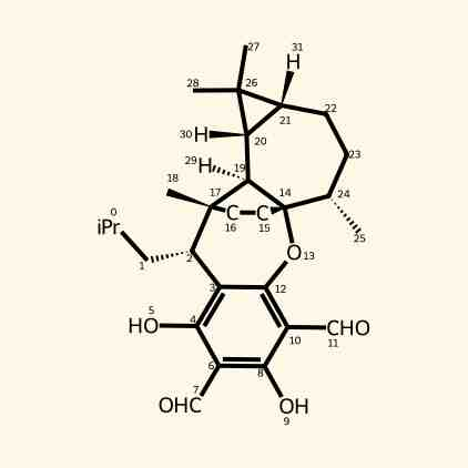 CC(C)C[C@H]1c2c(O)c(C=O)c(O)c(C=O)c2O[C@]23CC[C@@]1(C)[C@H]2[C@H]1[C@@H](CC[C@@H]3C)C1(C)C